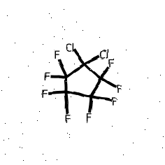 FC1(F)C(F)(F)C(F)(F)C(Cl)(Cl)C1(F)F